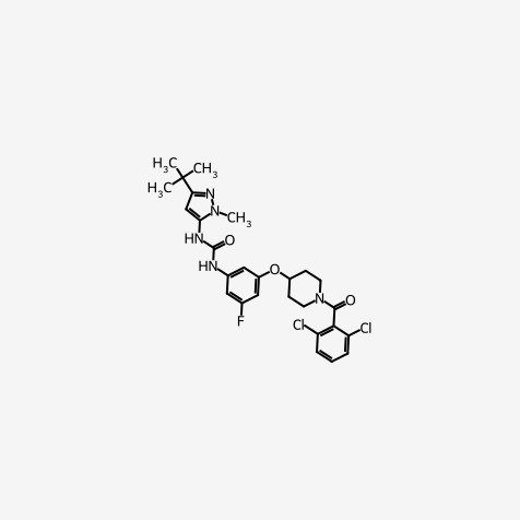 Cn1nc(C(C)(C)C)cc1NC(=O)Nc1cc(F)cc(OC2CCN(C(=O)c3c(Cl)cccc3Cl)CC2)c1